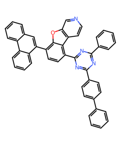 c1ccc(-c2ccc(-c3nc(-c4ccccc4)nc(-c4ccc(-c5cc6ccccc6c6ccccc56)c5oc6cnccc6c45)n3)cc2)cc1